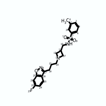 Cc1cccc(S(=O)(=O)NCC2CN(CCCc3noc4cc(F)ccc34)C2)c1